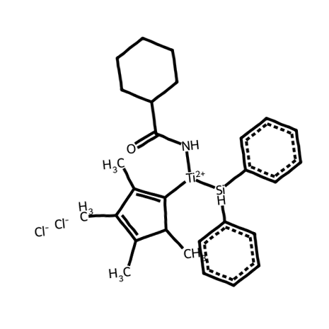 CC1=C(C)C(C)[C]([Ti+2]([NH]C(=O)C2CCCCC2)[SiH](c2ccccc2)c2ccccc2)=C1C.[Cl-].[Cl-]